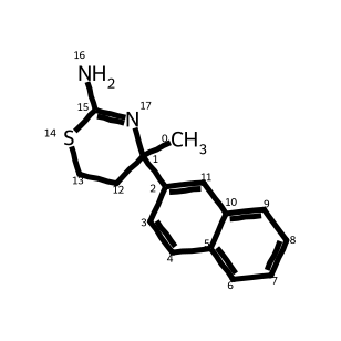 CC1(c2ccc3ccccc3c2)CCSC(N)=N1